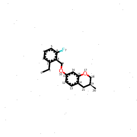 CCc1cccc(F)c1COc1ccc2c(c1)OC[C@@H](C)C2